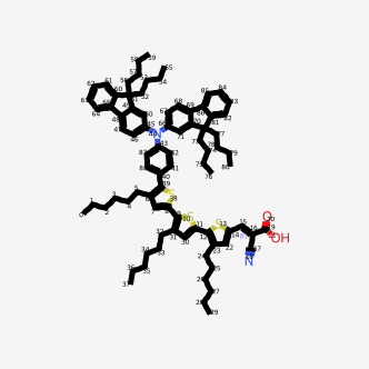 CCCCCCc1cc(-c2sc(-c3sc(/C=C(\C#N)C(=O)O)cc3CCCCCC)cc2CCCCCC)sc1-c1ccc(N(c2ccc3c(c2)C(CCCC)(CCCC)c2ccccc2-3)c2ccc3c(c2)C(CCCC)(CCCC)c2ccccc2-3)cc1